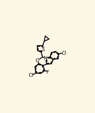 Fc1cc(Cl)cc2c1-c1cc3cc(Cl)ccc3n1C(c1ccc(C3CC3)s1)O2